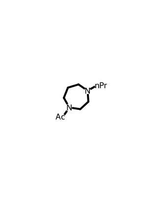 CCCN1CCCN(C(C)=O)CC1